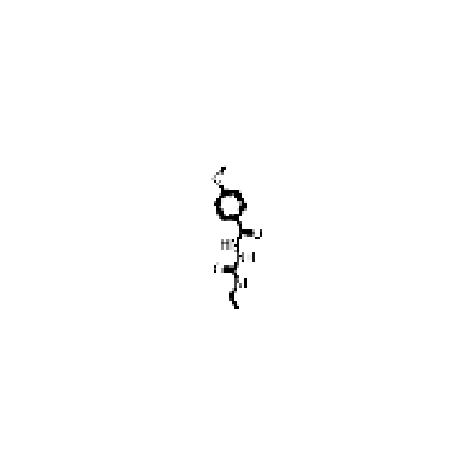 CCNC(=O)NNC(=O)c1ccc(OC)cc1